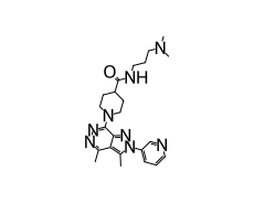 Cc1nnc(N2CCC(C(=O)NCCCN(C)C)CC2)c2nn(-c3cccnc3)c(C)c12